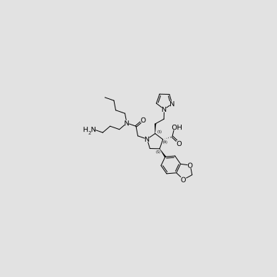 CCCCN(CCCN)C(=O)CN1C[C@H](c2ccc3c(c2)OCO3)[C@@H](C(=O)O)[C@@H]1CCn1cccn1